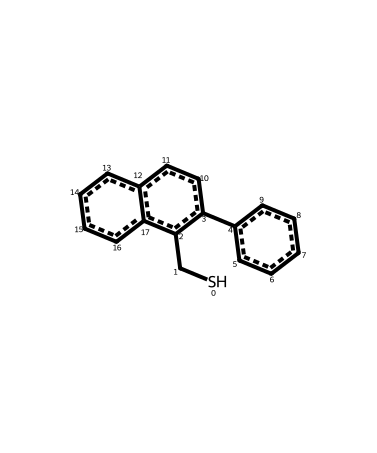 SCc1c(-c2ccccc2)ccc2ccccc12